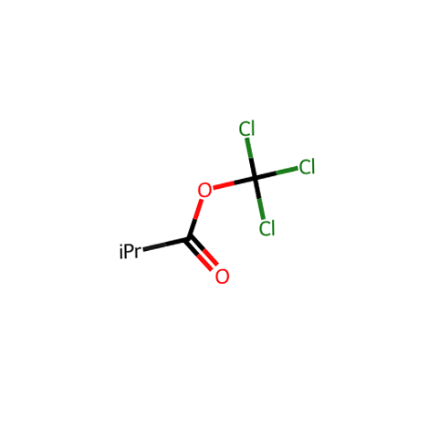 CC(C)C(=O)OC(Cl)(Cl)Cl